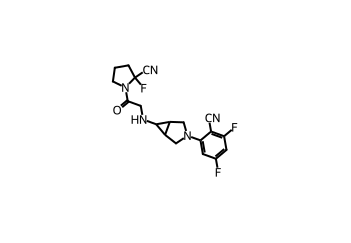 N#Cc1c(F)cc(F)cc1N1CC2C(C1)C2NCC(=O)N1CCCC1(F)C#N